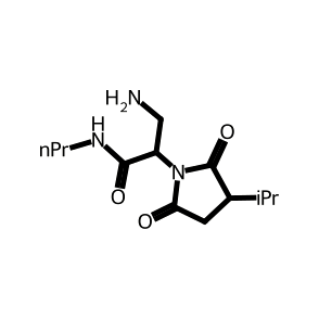 CCCNC(=O)C(CN)N1C(=O)CC(C(C)C)C1=O